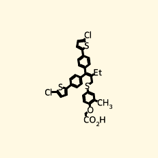 CCC(CSc1ccc(OCC(=O)O)c(C)c1)=C(c1ccc(-c2ccc(Cl)s2)cc1)c1ccc(-c2ccc(Cl)s2)cc1